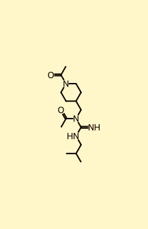 CC(=O)N1CCC(CN(C(=N)NCC(C)C)C(C)=O)CC1